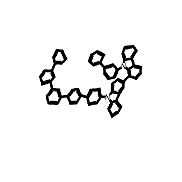 c1ccc(-c2cccc(-c3cccc(-c4ccc(-c5ccc(-n6c7ccccc7c7cc(-c8cccc9c%10ccccc%10n(-c%10cccc(-c%11ccccc%11)c%10)c89)ccc76)cc5)cc4)c3)c2)cc1